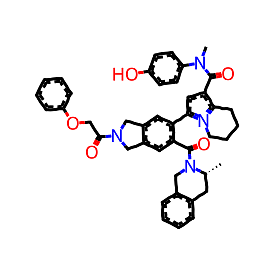 C[C@@H]1Cc2ccccc2CN1C(=O)c1cc2c(cc1-c1cc(C(=O)N(C)c3ccc(O)cc3)c3n1CCCC3)CN(C(=O)COc1ccccc1)C2